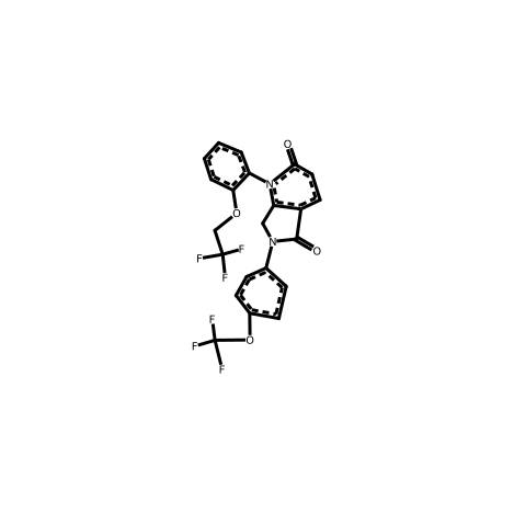 O=C1c2ccc(=O)n(-c3ccccc3OCC(F)(F)F)c2CN1c1ccc(OC(F)(F)F)cc1